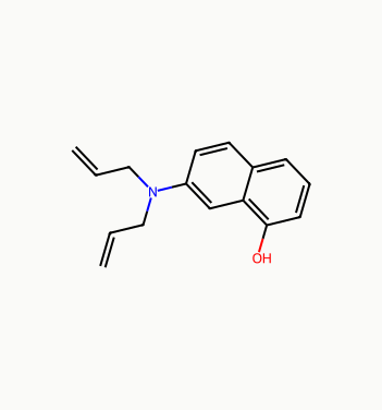 C=CCN(CC=C)c1ccc2cccc(O)c2c1